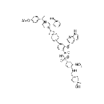 COc1ccc(C(C)N2CCN(C3CC4(CCN(c5ccc(C(=O)NS(=O)(=O)c6ccc(NCC7CCC(C)(O)CC7)c([N+](=O)[O-])c6)c(Oc6cnc7[nH]ccc7c6)c5)CC4)C3)C(c3ccccc3C(C)C)C2)cc1